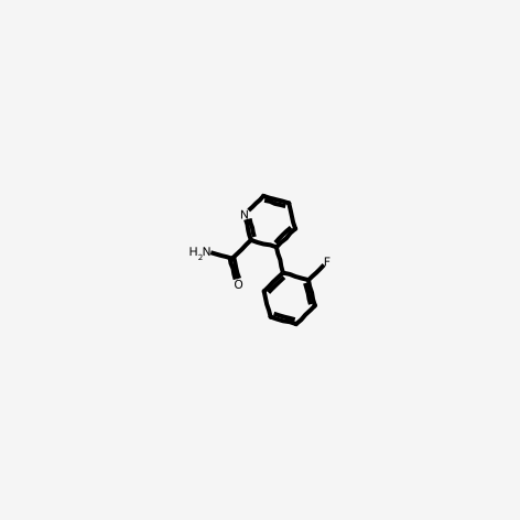 NC(=O)c1ncccc1-c1ccccc1F